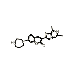 Cc1cn2cc(-c3cc4ccc(N5CCCNCC5)cc4oc3=O)nc2c(C)n1